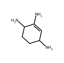 NC1=CC(N)CCC1N